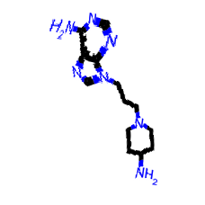 Nc1ncnc2c1ncn2CCCN1CCC(N)CC1